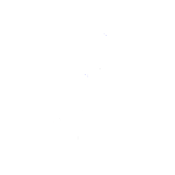 CCOC(=O)C(Cc1ccc(NC(=O)c2c(Cl)cncc2Cl)cc1)C(=O)Cl